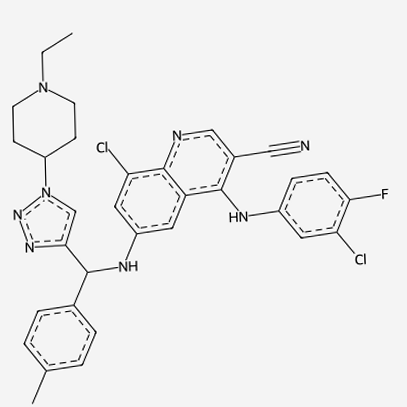 CCN1CCC(n2cc(C(Nc3cc(Cl)c4ncc(C#N)c(Nc5ccc(F)c(Cl)c5)c4c3)c3ccc(C)cc3)nn2)CC1